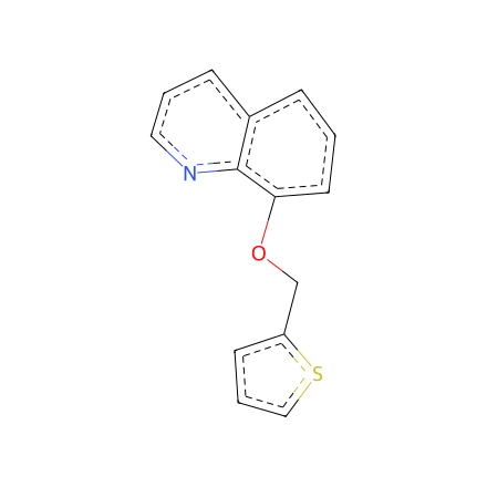 c1csc(COc2cccc3cccnc23)c1